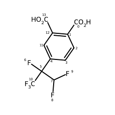 O=C(O)c1ccc(C(F)(C(F)F)C(F)(F)F)cc1C(=O)O